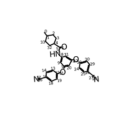 CC1CCC(C(=O)Nc2cc(Oc3ccc(C#N)cc3)cc(Oc3ccc(C#N)cc3)c2)CC1